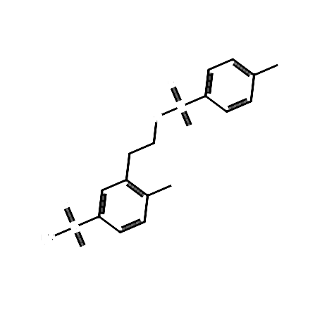 Cc1ccc(S(=O)(=O)OCCc2cc(S(N)(=O)=O)ccc2C)cc1